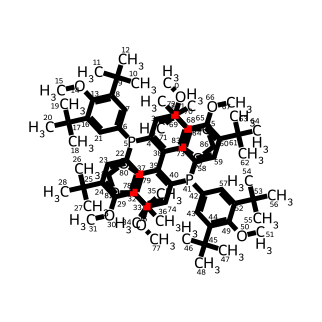 COc1cc(P(c2cc(C(C)(C)C)c(OC)c(C(C)(C)C)c2)c2cc(C(C)(C)C)c(OC)c(C(C)(C)C)c2)c(-c2c(P(c3cc(C(C)(C)C)c(OC)c(C(C)(C)C)c3)c3cc(C(C)(C)C)c(OC)c(C(C)(C)C)c3)cc(OC)c3c2OCO3)c2c1OCO2